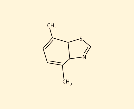 CC1=CC=C(C)C2SC=NC12